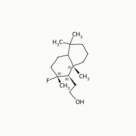 CC1(C)CCC[C@@]2(C)C1CC[C@@](C)(F)[C@@H]2CCO